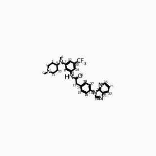 CN1CCC(N(C)c2cc(NC(=O)Cc3ccc(-n4cnc5cccnc54)cc3)cc(C(F)(F)F)c2)CC1